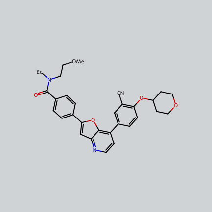 CCN(CCOC)C(=O)c1ccc(-c2cc3nccc(-c4ccc(OC5CCOCC5)c(C#N)c4)c3o2)cc1